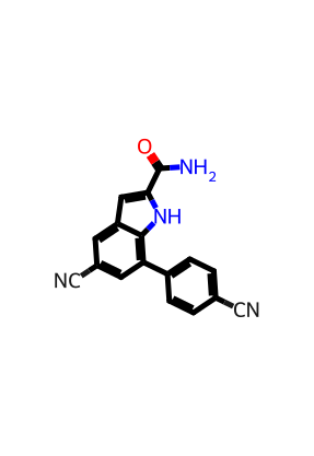 N#Cc1ccc(-c2cc(C#N)cc3cc(C(N)=O)[nH]c23)cc1